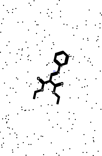 CCOC(=O)C(/C=N/c1ccccc1)C(=O)OCC